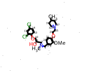 COc1cc(CN(C)CC(O)COc2ccc(Cl)cc2Cl)ccc1OCCN1CCC(C)CC1